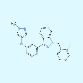 Cn1cc(Nc2ccnc(-c3nn(Cc4ccccc4F)c4ccccc34)c2)cn1